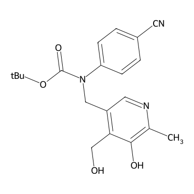 Cc1ncc(CN(C(=O)OC(C)(C)C)c2ccc(C#N)cc2)c(CO)c1O